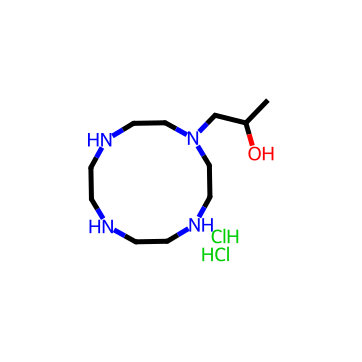 CC(O)CN1CCNCCNCCNCC1.Cl.Cl